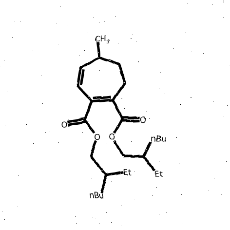 CCCCC(CC)COC(=O)C1=C(C(=O)OCC(CC)CCCC)CCC(C)C=C1